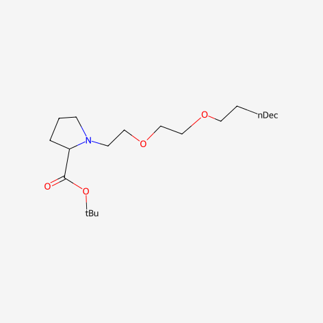 CCCCCCCCCCCCOCCOCCN1CCCC1C(=O)OC(C)(C)C